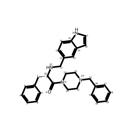 O=C([C@H](Cc1ccccc1)NCc1ccc2[nH]ccc2c1)N1CCN(Cc2ccccc2)CC1